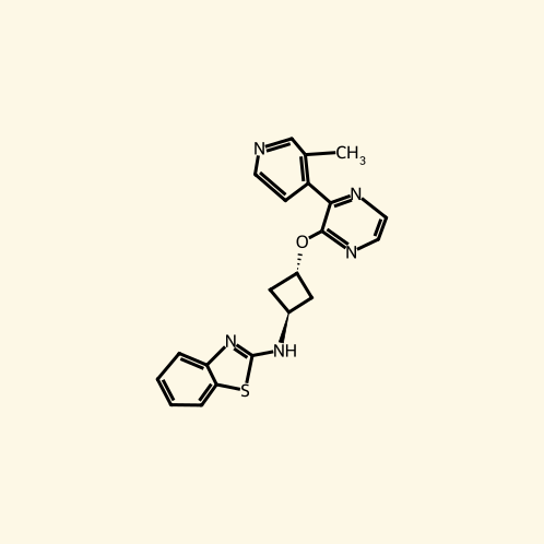 Cc1cnccc1-c1nccnc1O[C@H]1C[C@H](Nc2nc3ccccc3s2)C1